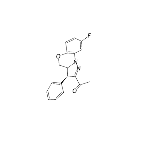 CC(=O)C1=NN2c3cc(F)ccc3OCC2[C@@H]1c1ccccc1